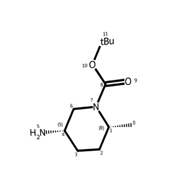 C[C@@H]1CC[C@H](N)CN1C(=O)OC(C)(C)C